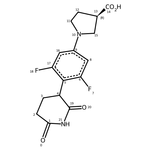 O=C1CCC(c2c(F)cc(N3CC[C@@H](C(=O)O)C3)cc2F)C(=O)N1